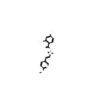 COc1ccc(/C=C/S(=O)(=O)NC(=O)c2ccc(F)cc2Br)cn1